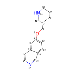 c1cc2cc(OCC3CCCNC3)ccc2cn1